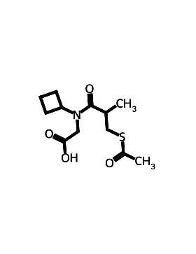 CC(=O)SCC(C)C(=O)N(CC(=O)O)C1CCC1